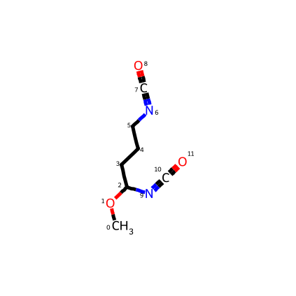 COC(CCCN=C=O)N=C=O